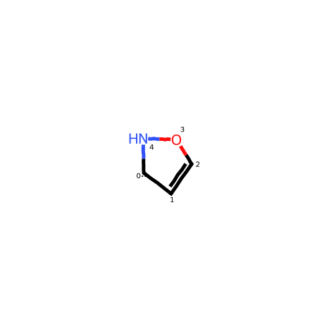 [C]1C=CON1